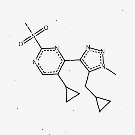 Cn1nnc(-c2nc(S(C)(=O)=O)ncc2C2CC2)c1CC1CC1